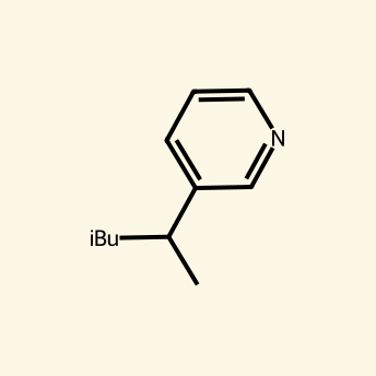 CCC(C)C(C)c1cccnc1